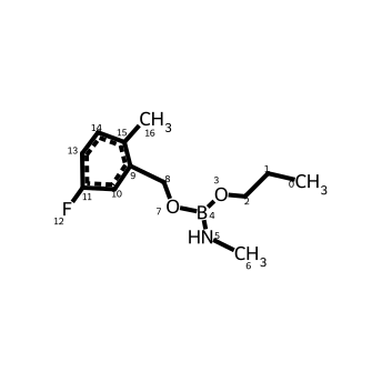 CCCOB(NC)OCc1cc(F)ccc1C